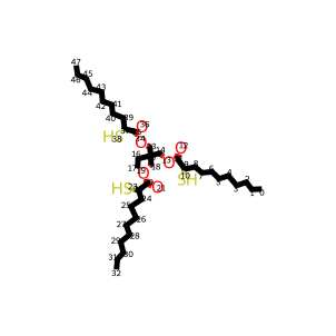 CCCCCCCCCC(S)C(=O)OCC(CC)(COC(=O)C(S)CCCCCCCCC)COC(=O)C(S)CCCCCCCCC